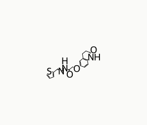 O=C(COc1ccc2c(c1)CCC(=O)N2)NN=Cc1cccs1